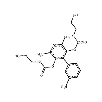 Cc1nc(C)c(OC(=O)OCCO)c(-c2cccc([N+](=O)[O-])c2)c1OC(=O)OCCO